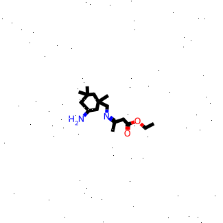 CCOC(=O)CC(C)=NCC1(C)CC(N)CC(C)(C)C1